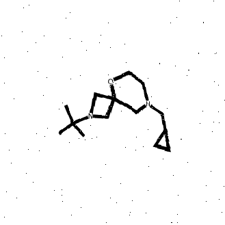 CC(C)(C)N1CC2(CN(CC3CC3)CCO2)C1